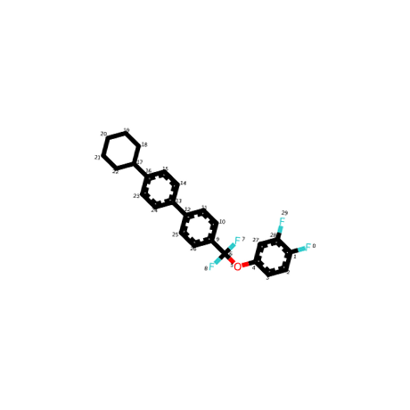 Fc1ccc(OC(F)(F)c2ccc(-c3ccc(C4CCCCC4)cc3)cc2)cc1F